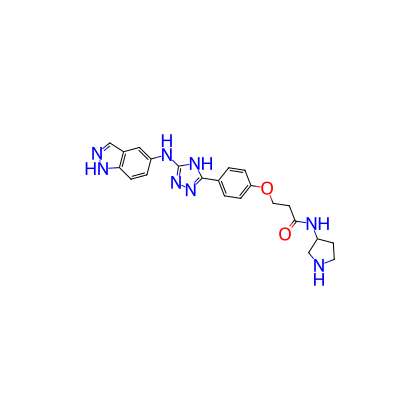 O=C(CCOc1ccc(-c2nnc(Nc3ccc4[nH]ncc4c3)[nH]2)cc1)NC1CCNC1